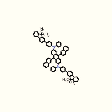 CC1(C)c2ccccc2-c2ccc(-c3ccc(N(c4ccccc4)c4ccc5c(-c6ccc7ccccc7c6)c6cc(N(c7ccccc7)c7ccc(-c8ccc9c(c8)C(C)(C)C8C=CC=CC98)cc7)ccc6c(-c6ccc7ccccc7c6)c5c4)cc3)cc21